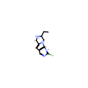 CCC1Cn2c(cc3cnc(Cl)nc32)CN1